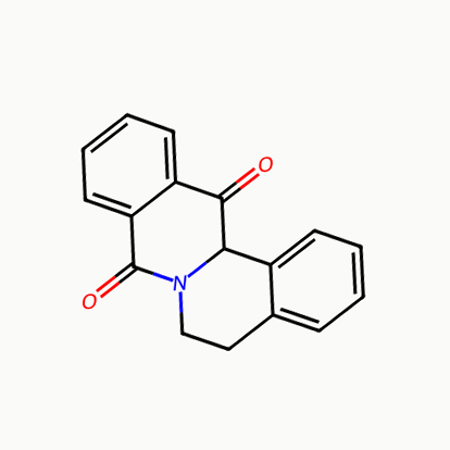 O=C1c2ccccc2C(=O)N2CCc3ccccc3C12